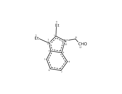 CCc1n(CC)c2ccccc2[n+]1CC=O